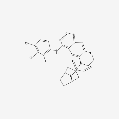 C=CC(=O)N1C2CCC1CC(N1CCOc3cc4ncnc(Nc5ccc(Cl)c(Cl)c5F)c4cc31)C2